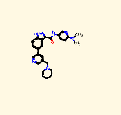 CN(C)c1ccc(NC(=O)c2n[nH]c3ccc(-c4cncc(CN5CCCCC5)c4)cc23)cn1